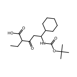 CCC(C(=O)O)C(=O)CC(NC(=O)OC(C)(C)C)C1CCCCC1